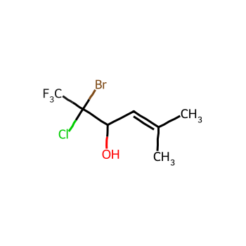 CC(C)=CC(O)C(Cl)(Br)C(F)(F)F